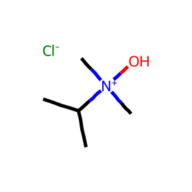 CC(C)[N+](C)(C)O.[Cl-]